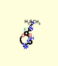 CN(C)CCn1cc(-c2cc3c(cc2F)OCC/C=C\Cn2cnnc2-c2cccc(n2)NC3=O)cn1